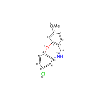 COc1ccc2c(c1)Oc1ccc(Cl)cc1NC2